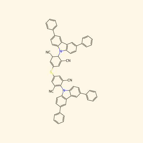 N#CC1=CC(Sc2cc(C#N)c(-n3c4ccc(-c5ccccc5)cc4c4cc(-c5ccccc5)ccc43)c(C#N)c2)=CC(C#N)C1n1c2ccc(-c3ccccc3)cc2c2cc(-c3ccccc3)ccc21